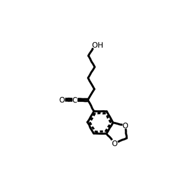 O=C=C(CCCCO)c1ccc2c(c1)OCO2